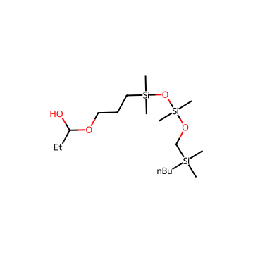 CCCC[Si](C)(C)CO[Si](C)(C)O[Si](C)(C)CCCOC(O)CC